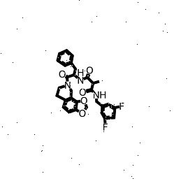 CC(C(=O)NCc1cc(F)cc(F)c1)C(=O)NC(Cc1ccccc1)C(=O)N1CCc2ccc3c(c2C1)OCO3